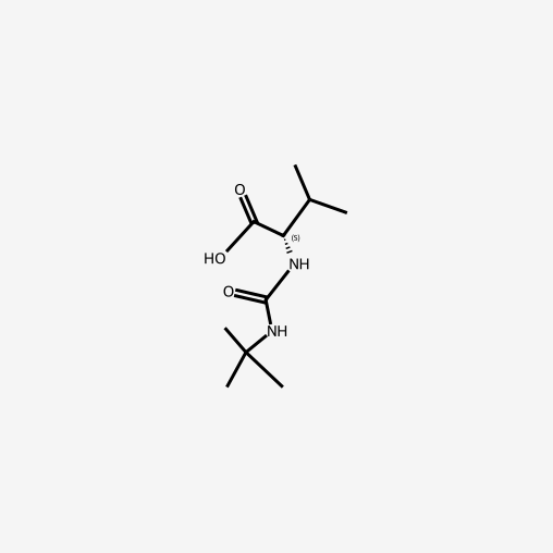 CC(C)[C@H](NC(=O)NC(C)(C)C)C(=O)O